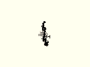 C#CCCOc1ccc(CNC(=O)[C@H](O)[C@@H](O)C(=O)N2CCN(c3ccccc3F)CC2)cc1